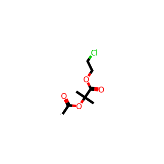 [CH2]C(=O)OC(C)(C)C(=O)OCCCl